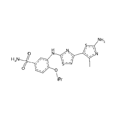 Cc1nc(N)sc1-c1csc(Nc2cc(S(N)(=O)=O)ccc2OC(C)C)n1